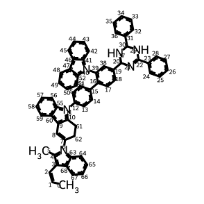 C/C=C\c1c(C)n(C2=Cc3c(n(-c4ccc(-c5ccc(C6N=C(c7ccccc7)NC(c7ccccc7)N6)cc5-n5c6ccccc6c6ccccc65)cc4)c4ccccc34)CC2)c2ccccc12